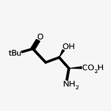 CC(C)(C)C(=O)C[C@@H](O)[C@H](N)C(=O)O